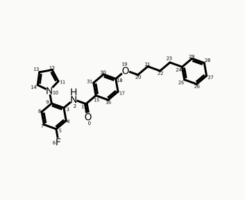 O=C(Nc1cc(F)ccc1-n1cccc1)c1ccc(OCCCCc2ccccc2)cc1